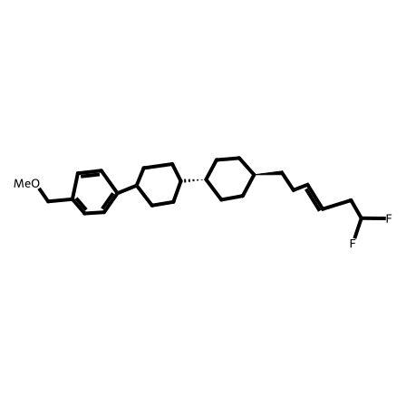 COCc1ccc(C2CCC([C@H]3CC[C@H](CC/C=C/CC(F)F)CC3)CC2)cc1